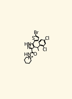 CC(c1ccc(Cl)cc1Cl)c1c(C(=O)N[N+]2(C)CCCCC2)n[nH]c1-c1ccc(Br)s1